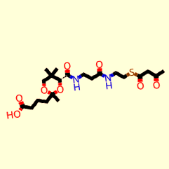 CC(=O)CC(=O)SCCNC(=O)CCNC(=O)[C@@H]1OC(C)(CCCC(=O)O)OCC1(C)C